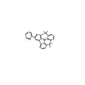 CC1(C)c2cccc3c2-n2c4c1cccc4c1cc(-c4ccccn4)cc(c12)C3(C)C